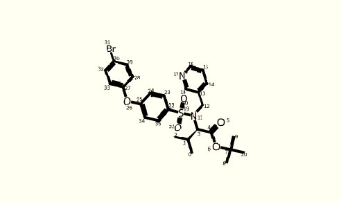 CC(C)[C@H](C(=O)OC(C)(C)C)N(Cc1cccnc1)S(=O)(=O)c1ccc(Oc2ccc(Br)cc2)cc1